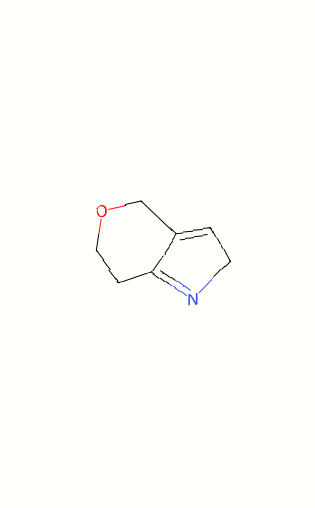 C1=C2COCCC2=NC1